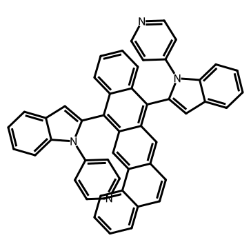 c1ccc2c(c1)ccc1cc3c(-c4cc5ccccc5n4-c4ccncc4)c4ccccc4c(-c4cc5ccccc5n4-c4ccncc4)c3cc12